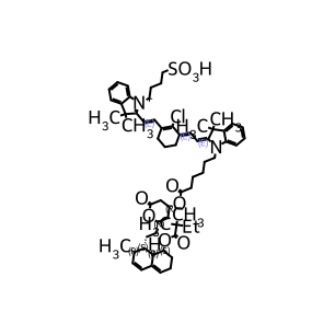 CCC(C)(C)C(=O)O[C@H]1CCC=C2C=C[C@H](C)[C@H](CC[C@@H]3C[C@@H](OC(=O)CCCCCN4/C(=C/C=C5\CCCC(/C=C/C6=[N+](CCCCS(=O)(=O)O)c7ccccc7C6(C)C)=C5Cl)C(C)(C)c5ccccc54)CC(=O)O3)[C@H]21